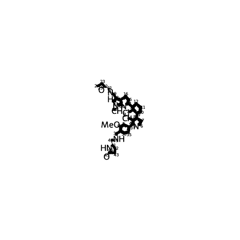 COc1cc(-c2nccc(-c3cccc(-c4ccc5c(CNC[C@H]6CCO6)cn(C)c5n4)c3Cl)c2Cl)ccc1CNC[C@@H]1CCC(=O)N1